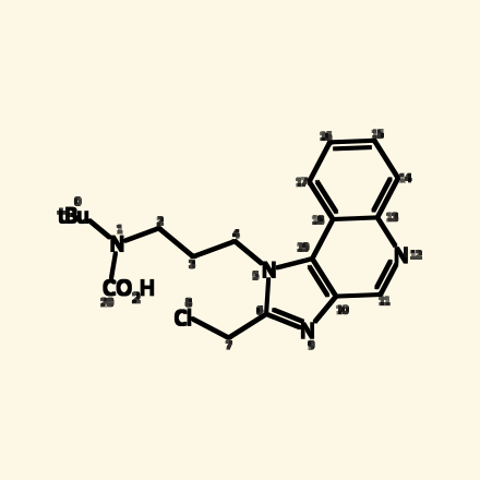 CC(C)(C)N(CCCn1c(CCl)nc2cnc3ccccc3c21)C(=O)O